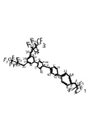 FC(F)(F)C(F)(F)Cc1ccc(-c2ccc(-c3ccc(-c4cc(CC(F)(F)C(F)(F)C(F)(F)F)cc(CC(F)(F)C(F)(F)C(F)(F)F)c4)cc3)cc2)cc1